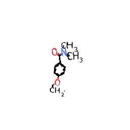 [CH2]COc1ccc(C(=O)N(C)C)cc1